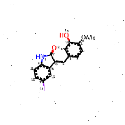 COc1ccc(C=C2C(=O)Nc3ccc(I)cc32)cc1O